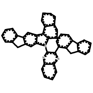 c1ccc2c(c1)Cc1cc3c(cc1-2)c1c2ccccc2ccc1n3-c1nc2ccccc2nc1-c1cccc2c1Cc1ccccc1-2